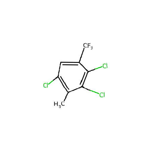 Cc1c(Cl)cc(C(F)(F)F)c(Cl)c1Cl